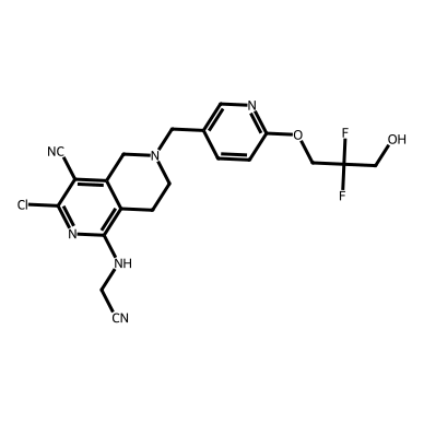 N#CCNc1nc(Cl)c(C#N)c2c1CCN(Cc1ccc(OCC(F)(F)CO)nc1)C2